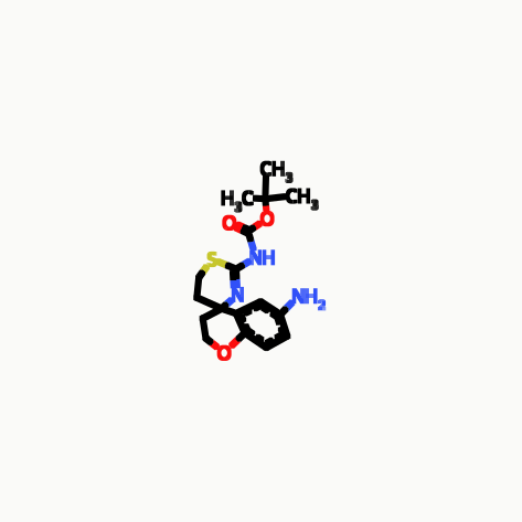 CC(C)(C)OC(=O)NC1=NC2(CCOc3ccc(N)cc32)CCS1